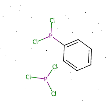 ClP(Cl)Cl.ClP(Cl)c1ccccc1